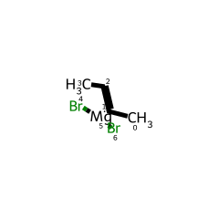 C[C]=CC.[Br][Mg][Br]